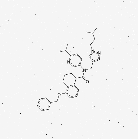 CC(C)CCn1cc(CN(C(=O)C2CCCc3c(OCc4ccccc4)cccc32)c2ccc(C(C)C)nc2)cn1